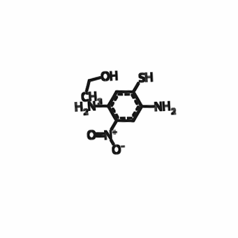 CCO.Nc1cc([N+](=O)[O-])c(N)cc1S